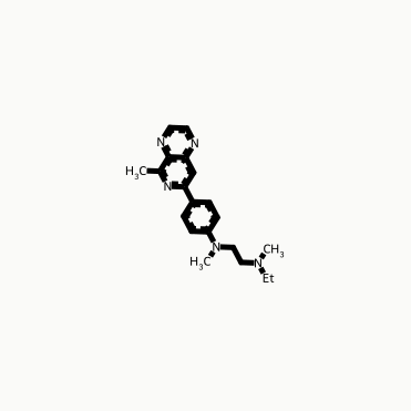 CCN(C)CCN(C)c1ccc(-c2cc3nccnc3c(C)n2)cc1